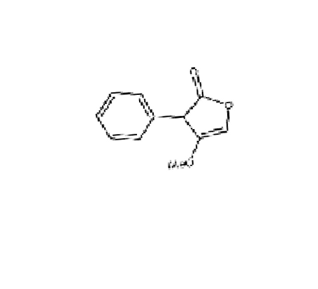 COC1=COC(=O)C1c1ccccc1